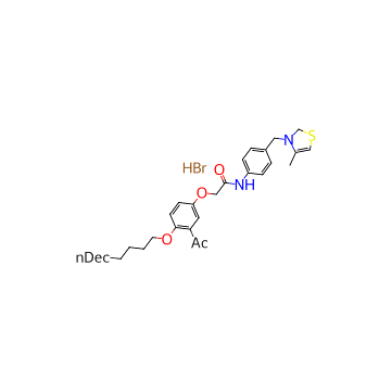 Br.CCCCCCCCCCCCCCOc1ccc(OCC(=O)Nc2ccc(CN3CSC=C3C)cc2)cc1C(C)=O